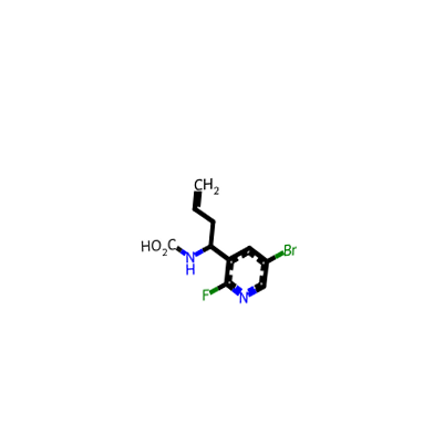 C=CCC(NC(=O)O)c1cc(Br)cnc1F